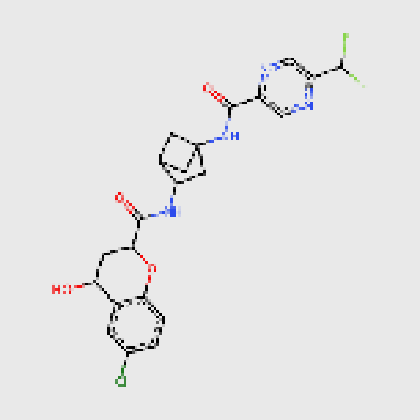 O=C(NC12CC(C1)C(NC(=O)C1CC(O)c3cc(Cl)ccc3O1)C2)c1cnc(C(F)F)cn1